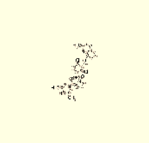 Cc1ccc2cccc(OCc3c(Cl)ccc(S(=O)(=O)N4CCC[C@H]4C(=O)N4CC(C)NC(C)C4)c3Cl)c2n1